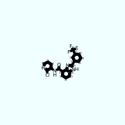 O=C(Nc1cccnc1Cl)c1cccc2[nH]c(-c3cccc(C(F)(F)F)c3)nc12